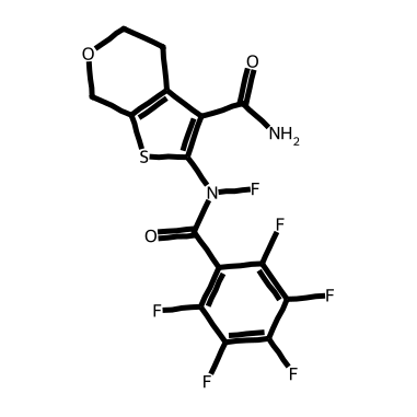 NC(=O)c1c(N(F)C(=O)c2c(F)c(F)c(F)c(F)c2F)sc2c1CCOC2